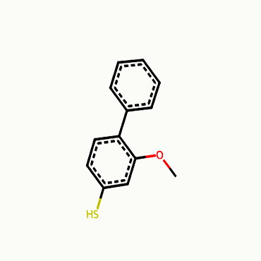 COc1cc(S)ccc1-c1ccccc1